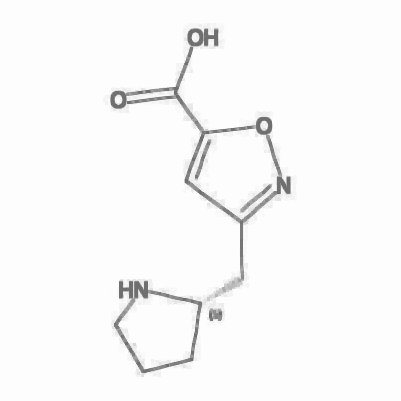 O=C(O)c1cc(C[C@@H]2CCCN2)no1